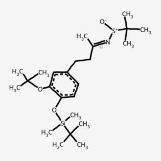 C/C(CCc1ccc(O[Si](C)(C)C(C)(C)C)c(OC(C)(C)C)c1)=N\[S+]([O-])C(C)(C)C